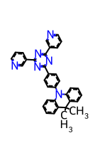 CC1(C)c2ccccc2N(c2ccc(-c3nc(-c4cccnc4)nc(-c4cccnc4)n3)cc2)c2ccccc21